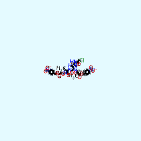 C[C@H]1[C@H](NC(=O)/C(=N\OC(C)(C)C(=O)OCc2ccc([N+](=O)[O-])cc2)c2csc(NC(=O)CCl)n2)C(=O)N1OCC(=O)OCc1ccc([N+](=O)[O-])cc1